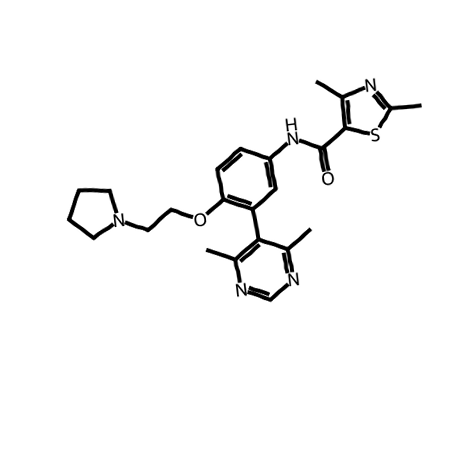 Cc1nc(C)c(C(=O)Nc2ccc(OCCN3CCCC3)c(-c3c(C)ncnc3C)c2)s1